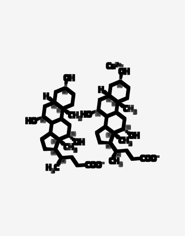 C[C@H](CCC(=O)[O-])[C@H]1CCC2C3C(C[C@H](O)[C@@]21C)[C@@]1(C)CC[C@@H](O)C[C@H]1C[C@H]3O.C[C@H](CCC(=O)[O-])[C@H]1CCC2C3C(C[C@H](O)[C@@]21C)[C@@]1(C)CC[C@@H](O)C[C@H]1C[C@H]3O.[Cu+2]